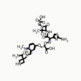 C/N=C1\C=CC(OC[C@H](O/N=C(\C(=O)N[C@@H]2C(=O)N(OS(=O)(=O)O)C2(C)C)c2csc(N)n2)C(=O)O)=C\C1=C\NCC1(C(N)=O)CNC1